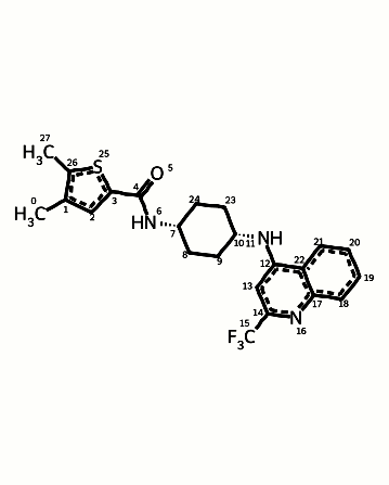 Cc1cc(C(=O)N[C@H]2CC[C@@H](Nc3cc(C(F)(F)F)nc4ccccc34)CC2)sc1C